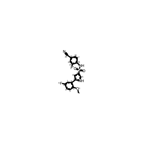 COc1ccc(F)cc1-c1cc(S(=O)(=O)Nc2ccc(C#N)cc2F)c[nH]1